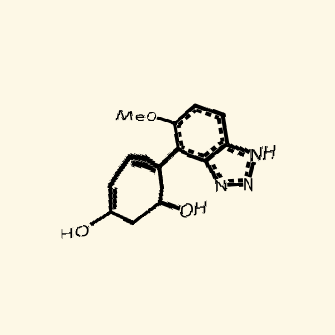 COc1ccc2[nH]nnc2c1C1=CC=C(O)CC1O